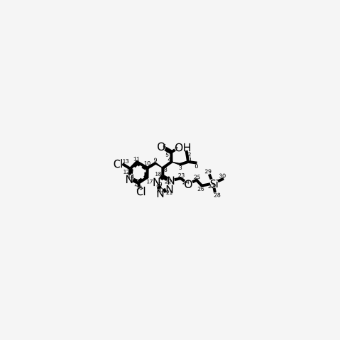 CC(C)C[C@H](C(=O)O)[C@H](Cc1cc(Cl)nc(Cl)c1)c1nnnn1COCC[Si](C)(C)C